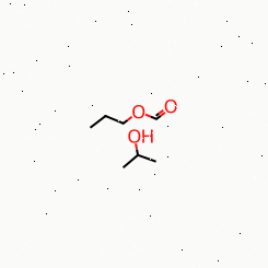 CC(C)O.CCCOC=O